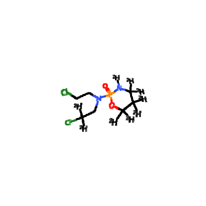 [2H]N1C([2H])([2H])C([2H])([2H])C([2H])([2H])OP1(=O)N(CCCl)CC([2H])([2H])Cl